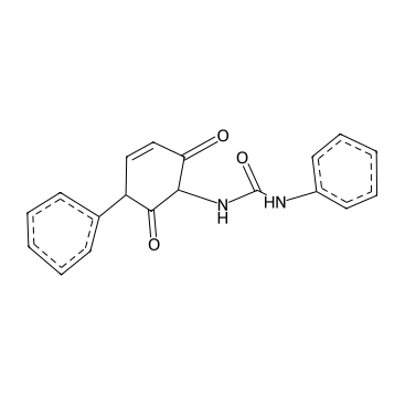 O=C(Nc1ccccc1)NC1C(=O)C=CC(c2ccccc2)C1=O